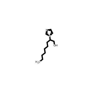 CCCCCCCC(CO)n1ccnc1